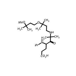 COC(C)(C)CCOC(C)(C)CCNC(C)(C)C(=O)C(CCC(=O)O)NC(C)C